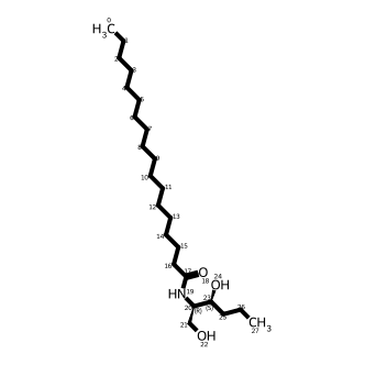 CCCCCCCCCCCCCCCCCC(=O)N[C@H](CO)[C@@H](O)CCC